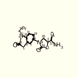 CC(C)CN1C(=O)Cc2cc(N3CC(C(N)=O)OC3=O)ccc21